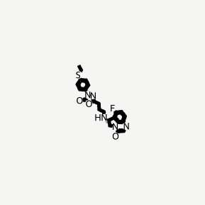 CCSc1ccc(-n2nc(CCCN[C@H]3Cn4c(=O)cnc5ccc(F)c3c54)oc2=O)cc1